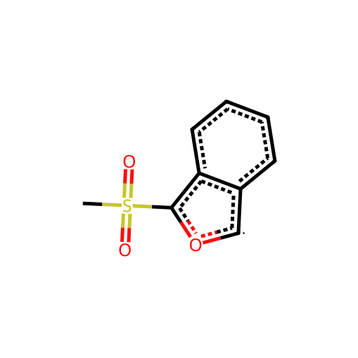 CS(=O)(=O)c1o[c]c2ccccc12